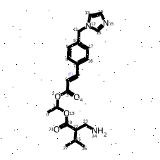 CC(OC(=O)/C=C/c1ccc(Cn2ccnc2)cc1)OC(=O)C(CN)C(C)C